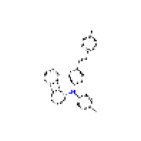 Cc1ccc(C=Cc2ccc(N(c3ccc(C)cc3)c3cccc4c3-c3ccccc3-4)cc2)cc1